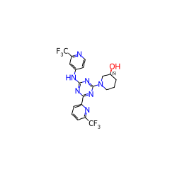 O[C@H]1CCCN(c2nc(Nc3ccnc(C(F)(F)F)c3)nc(-c3cccc(C(F)(F)F)n3)n2)C1